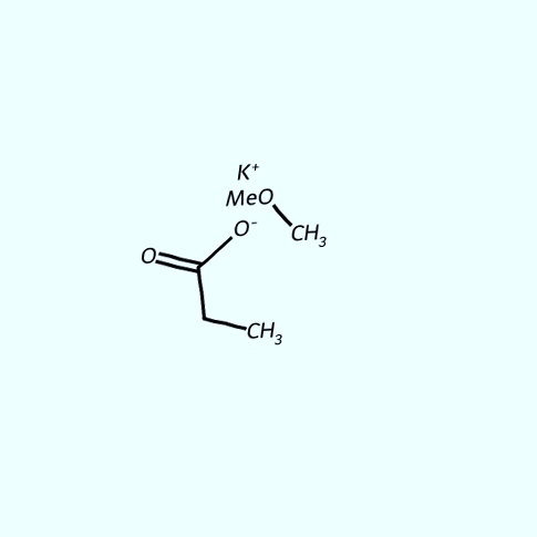 CCC(=O)[O-].COC.[K+]